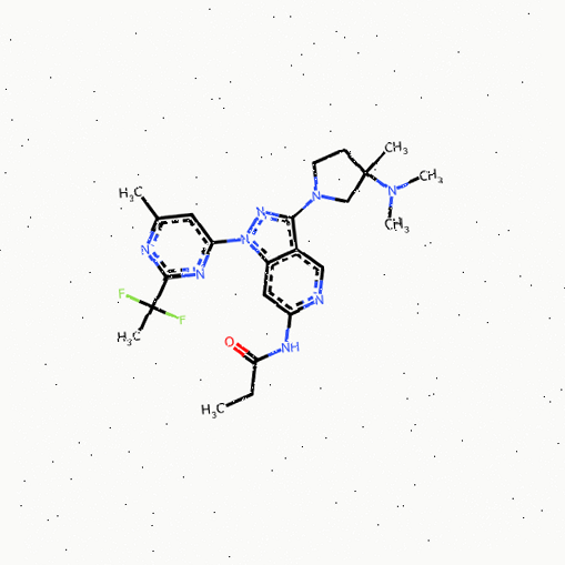 CCC(=O)Nc1cc2c(cn1)c(N1CCC(C)(N(C)C)C1)nn2-c1cc(C)nc(C(C)(F)F)n1